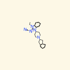 CCn1/c(=N\C#N)n(C2CCN(C3Cc4ccccc4C3)CC2)c2ccccc21